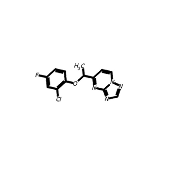 CC(Oc1ccc(F)cc1Cl)c1ccn2ncnc2n1